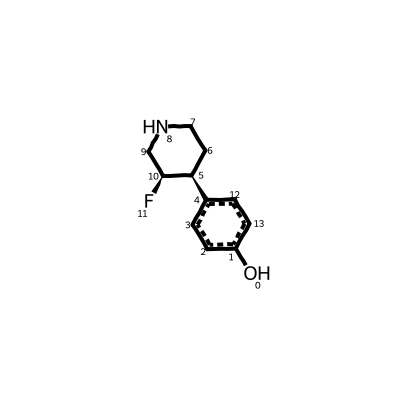 Oc1ccc([C@@H]2CCNC[C@@H]2F)cc1